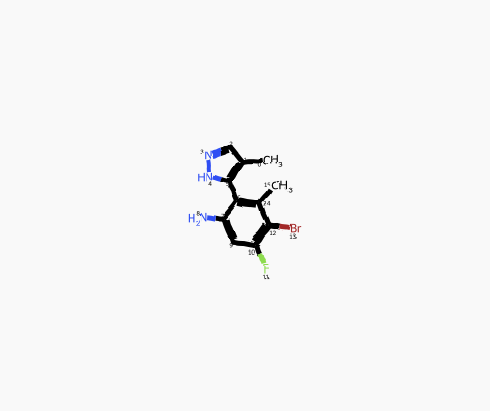 Cc1cn[nH]c1-c1c(N)cc(F)c(Br)c1C